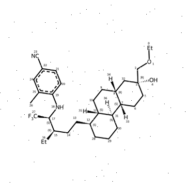 CCOC[C@@]1(O)CC[C@H]2[C@H](CC[C@H]3[C@H](CC[C@@H](CC)[C@H](Nc4ccc(C#N)cc4C)C(F)(F)F)CCC[C@@H]32)C1